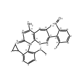 CSc1cccc(C2CC2)c1-n1c2c(c(N)nc1=O)C=C(F)C(c1c(F)cccc1N=O)=NO2